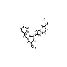 CC(C)OC(=O)/C=C\n1cnc(-c2cc(Oc3ccccn3)cc(C(F)(F)F)c2)n1